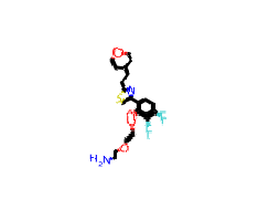 NCCOCCOc1c(-c2csc(CCC3CCOCC3)n2)ccc(F)c1F